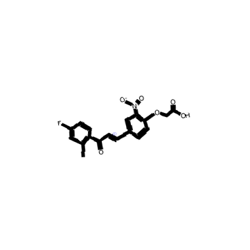 Cc1cc(F)ccc1C(=O)/C=C/c1ccc(OCC(=O)O)c([N+](=O)[O-])c1